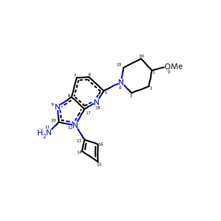 COC1CCN(c2ccc3nc(N)n(C4=CC=C4)c3n2)CC1